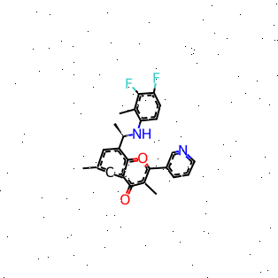 Cc1cc([C@@H](C)Nc2ccc(F)c(F)c2C)c2oc(-c3cccnc3)c(C)c(=O)c2c1